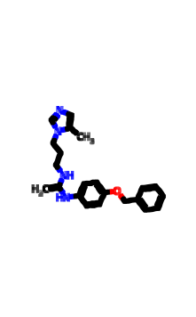 C=C(NCCCn1cncc1C)Nc1ccc(OCc2ccccc2)cc1